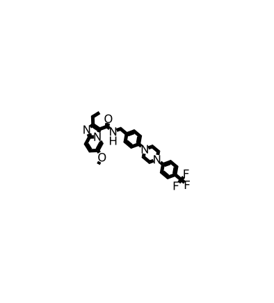 CCc1nc2ccc(OC)cn2c1C(=O)NCc1ccc(N2CCN(c3ccc(C(F)(F)F)cc3)CC2)cc1